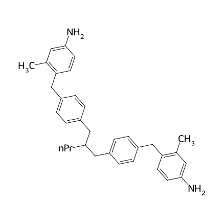 CCCC(Cc1ccc(Cc2ccc(N)cc2C)cc1)Cc1ccc(Cc2ccc(N)cc2C)cc1